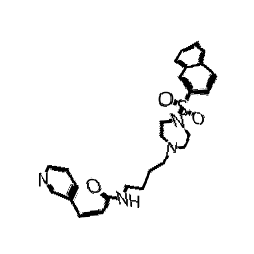 O=C(/C=C\c1cccnc1)NCCCCN1CCN(S(=O)(=O)c2ccc3ccccc3c2)CC1